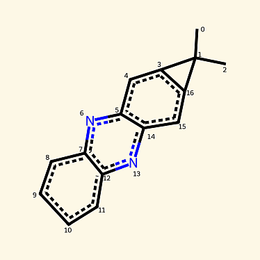 CC1(C)c2cc3nc4ccccc4nc3cc21